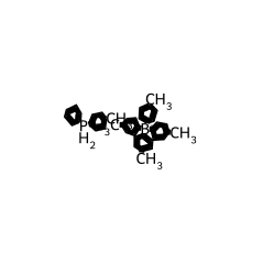 Cc1ccc([B-](c2ccc(C)cc2)(c2ccc(C)cc2)c2ccc(C)cc2)cc1.Cc1ccc([PH2+]c2ccccc2)cc1